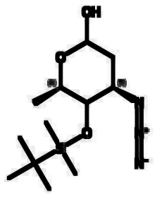 C[C@H]1OC(O)C[C@@H](N=[N+]=[N-])C1O[Si](C)(C)C(C)(C)C